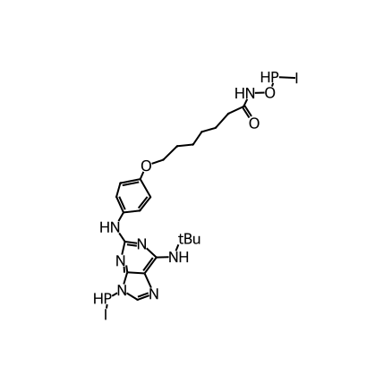 CC(C)(C)Nc1nc(Nc2ccc(OCCCCCCC(=O)NOPI)cc2)nc2c1ncn2PI